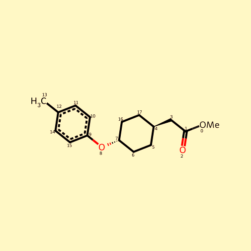 COC(=O)C[C@H]1CC[C@H](Oc2ccc(C)cc2)CC1